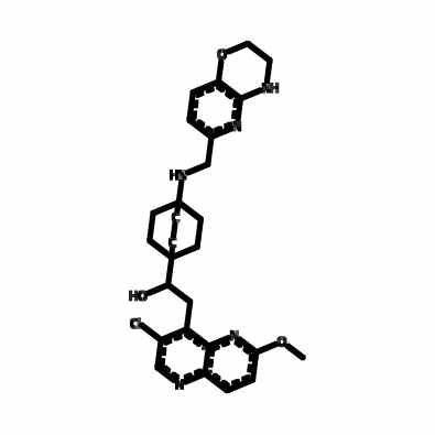 COc1ccc2ncc(Cl)c(CC(O)C34CCC(NCc5ccc6c(n5)NCCO6)(CC3)CC4)c2n1